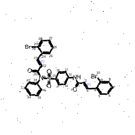 O=C(/C=C/c1ccccc1Br)Nc1ccc(S(=O)(=O)N(C(=O)/C=C/c2ccccc2Br)c2ccccc2)cc1